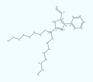 CCCCCCCCN(CCCCCCCC)c1nc(-c2ccccc2)c(C=O)s1